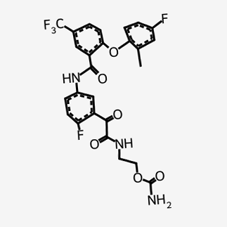 Cc1cc(F)ccc1Oc1ccc(C(F)(F)F)cc1C(=O)Nc1ccc(F)c(C(=O)C(=O)NCCOC(N)=O)c1